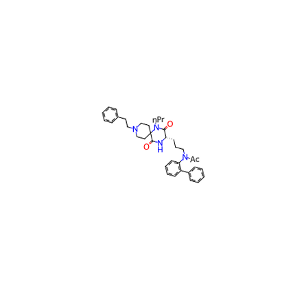 CCCN1C(=O)[C@H](CCCN(C(C)=O)c2ccccc2-c2ccccc2)NC(=O)C12CCN(CCc1ccccc1)CC2